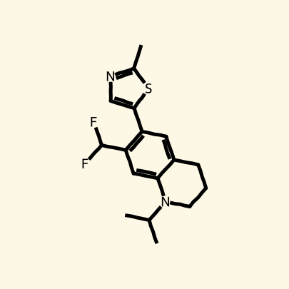 Cc1ncc(-c2cc3c(cc2C(F)F)N(C(C)C)CCC3)s1